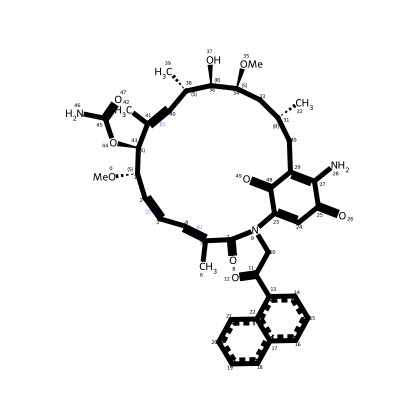 CO[C@H]1/C=C\C=C(/C)C(=O)N(CC(=O)c2cccc3ccccc23)C2=CC(=O)C(N)=C(C[C@@H](C)C[C@H](OC)[C@H](O)[C@@H](C)/C=C(\C)[C@@H]1OC(N)=O)C2=O